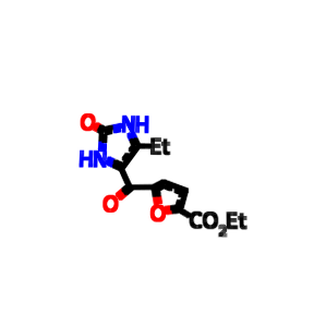 CCOC(=O)c1ccc(C(=O)c2[nH]c(=O)[nH]c2CC)o1